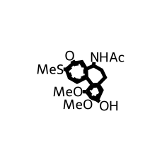 COc1c(O)cc2c(c1OC)-c1ccc(SC)c(=O)cc1C(NC(C)=O)CC2